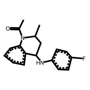 CC(=O)N1c2ccccc2C(Nc2ccc(F)cc2)CC1C